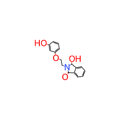 O=C1c2ccccc2C(O)N1CCOc1cccc(O)c1